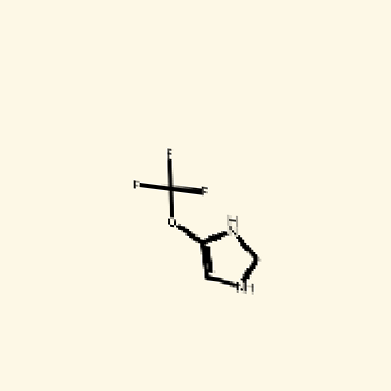 FC(F)(F)OC1=CN[CH]N1